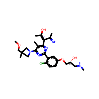 CNC[C@@H](O)COc1ccc(Cl)c(-c2nc(/C(C(C)=N)=C(\C)O)c(C)c(N3CC(C)(COC)C3)n2)c1